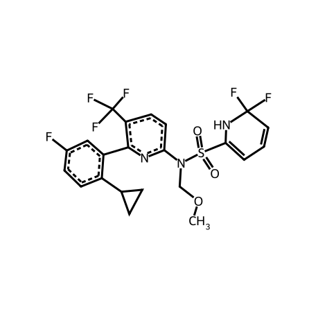 COCN(c1ccc(C(F)(F)F)c(-c2cc(F)ccc2C2CC2)n1)S(=O)(=O)C1=CC=CC(F)(F)N1